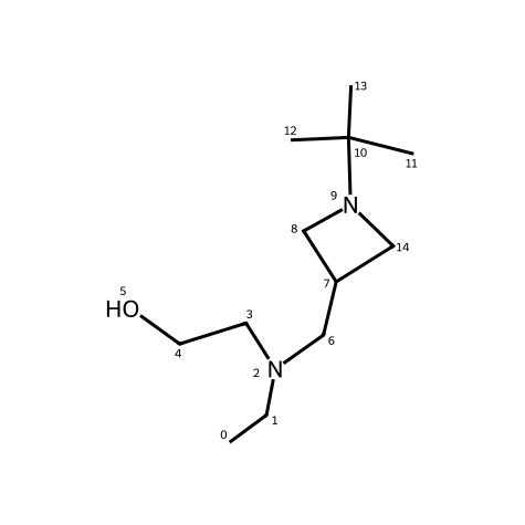 CCN(CCO)CC1CN(C(C)(C)C)C1